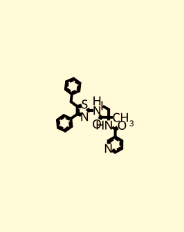 CC(CI)(NC(=O)c1cccnc1)C(=O)Nc1nc(-c2ccccc2)c(Cc2ccccc2)s1